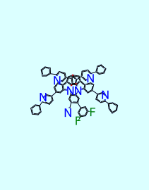 N#Cc1cc(-n2c3cc(-c4ccc(-c5ccccc5)nc4)ccc3c3ccc(-c4ccc(-c5ccccc5)nc4)cc32)c(-n2c3cc(-c4ccc(-c5ccccc5)nc4)ccc3c3ccc(-c4ccc(-c5ccccc5)nc4)cc32)cc1-c1cc(F)cc(F)c1